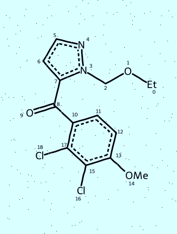 CCOCn1nccc1C(=O)c1ccc(OC)c(Cl)c1Cl